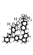 CC(C)(C)c1ccc(-c2nc3ccccc3n2-c2ccc(-c3cccc4ccc(-c5ccc6cc(C(C)(C)C)ccc6c5)cc34)cc2)cc1